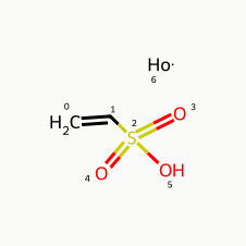 C=CS(=O)(=O)O.[Ho]